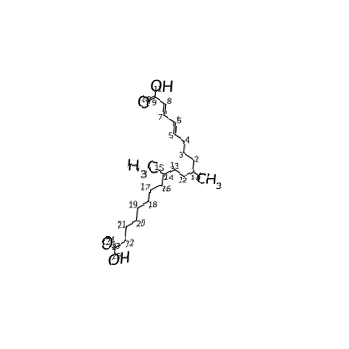 CC(CCCC=CC=CC(=O)O)CCC(C)CCCCCCCC(=O)O